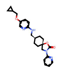 O=C1O[C@]2(CC[C@H](CNc3ccc(OCC4CC4)cn3)CC2)CN1c1ccccn1